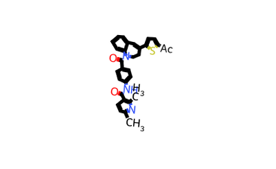 CC(=O)c1ccc(C2=Cc3ccccc3N(C(=O)c3ccc(NC(=O)c4ccc(C)nc4C)cc3)CC2)s1